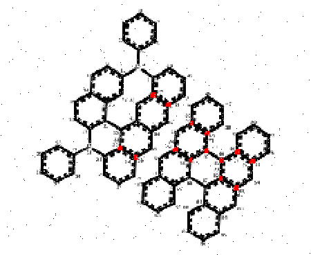 c1ccc(P(c2ccccc2)c2ccc3ccc(P(c4ccccc4)c4ccccc4)c(-c4cccc5ccccc45)c3c2)cc1.c1ccc(P(c2ccccc2)c2ccc3ccccc3c2-c2c(P(c3ccccc3)c3ccccc3)ccc3ccccc23)cc1